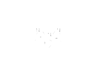 c1cc2c3c4c(ncc3n3c5cnc6c(c5c(c1)c23)C1(CCCC1)CC61CCCC1)C1(CCCC1)CC41CCCC1